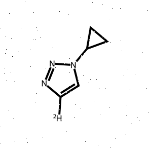 [2H]c1cn(C2CC2)nn1